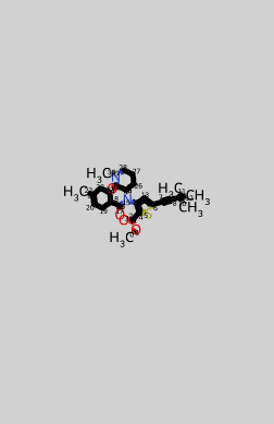 COC(=O)c1sc(C#CC(C)(C)C)cc1N(C(=O)C1CC=C(C)CC1)[C@H]1CCCN(C)C1=O